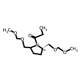 CCC(=O)N1C(COCOC)CC[C@H]1COCOC